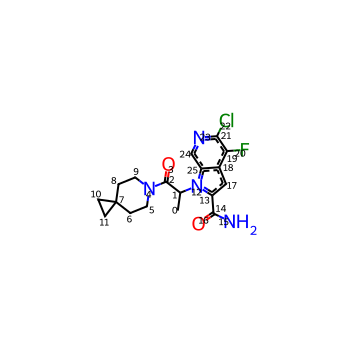 CC(C(=O)N1CCC2(CC1)CC2)n1c(C(N)=O)cc2c(F)c(Cl)ncc21